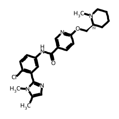 Cc1cnc(-c2cc(NC(=O)c3ccc(OC[C@@H]4CCCCN4C)nc3)ccc2Cl)n1C